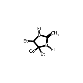 C=C1B(CC)C(CC)[C]([Co])(CC)B1CC